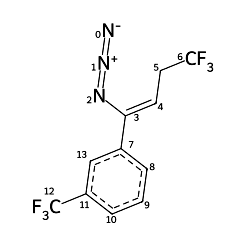 [N-]=[N+]=NC(=CCC(F)(F)F)c1cccc(C(F)(F)F)c1